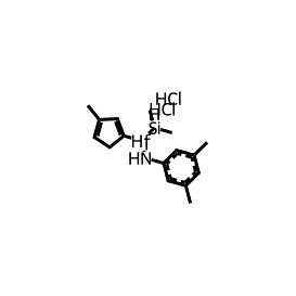 CC1=CC[C]([Hf]([NH]c2cc(C)cc(C)c2)[SiH](C)C)=C1.Cl.Cl